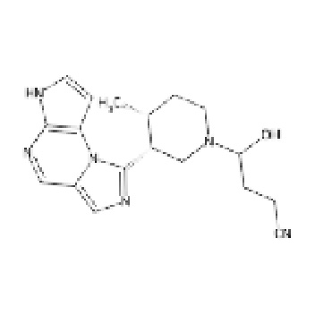 C[C@@H]1CCN(C(O)CCC#N)C[C@@H]1c1ncc2cnc3[nH]ccc3n12